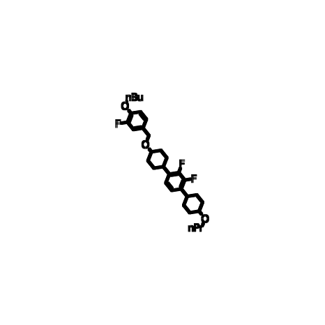 CCCCOc1ccc(COC2CCC(c3ccc(C4CCC(OCCC)CC4)c(F)c3F)CC2)cc1F